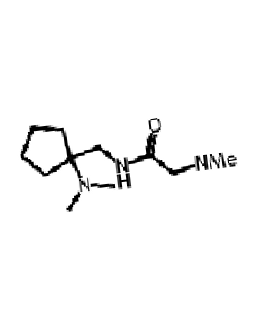 CNCC(=O)NCC1(N(C)C)CCCC1